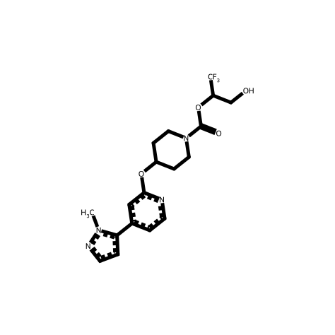 Cn1nccc1-c1ccnc(OC2CCN(C(=O)OC(CO)C(F)(F)F)CC2)c1